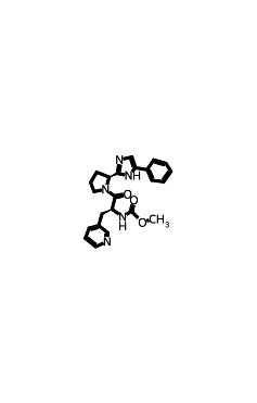 COC(=O)N[C@@H](Cc1cccnc1)C(=O)N1CCC[C@H]1c1ncc(-c2ccccc2)[nH]1